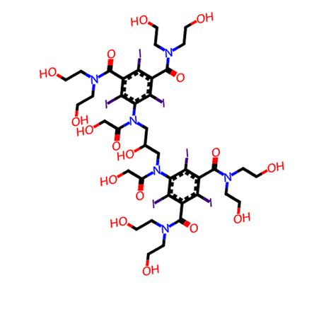 O=C(c1c(I)c(C(=O)N(CCO)CCO)c(I)c(N(CC(O)CN(C(=O)CO)c2c(I)c(C(=O)N(CCO)CCO)c(I)c(C(=O)N(CCO)CCO)c2I)C(=O)CO)c1I)N(CCO)CCO